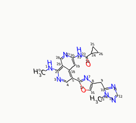 CNc1ncc(-c2nc(Cc3ncnn3C)co2)c2cc(NC(=O)C3CC3)ncc12